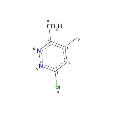 Cc1cc(Br)nnc1C(=O)O